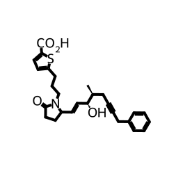 C[C@@H](CC#CCc1ccccc1)[C@H](O)C=CC1CCC(=O)N1CCCc1ccc(C(=O)O)s1